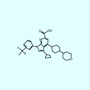 CC(F)(F)c1cccc(-n2nc(C3CCC3)c3c(N4CCC(N5CCOCC5)CC4)cc(C(=O)O)nc32)c1